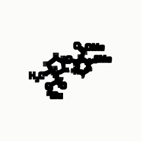 COC(=O)c1c(SC)ccnc1OC1CCC(C)N(C(=O)OC(C)(C)C)C1